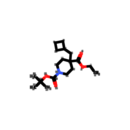 CCOC(=O)C1(CC2CCC2)CCN(C(=O)OC(C)(C)C)CC1